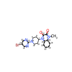 Cn1c(=O)c(=O)n(C2CCN(c3ncc(Br)cn3)CC2)c2ccccc21